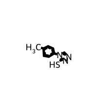 Cc1ccc(-n2cnnc2S)cc1